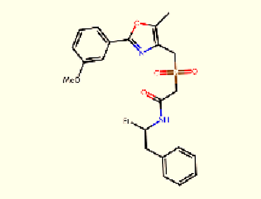 CCC(Cc1ccccc1)NC(=O)CS(=O)(=O)Cc1nc(-c2cccc(OC)c2)oc1C